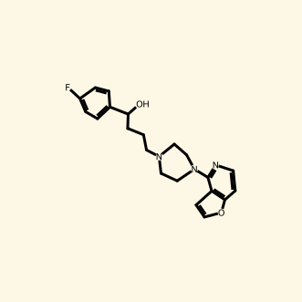 OC(CCCN1CCN(c2nccc3occc23)CC1)c1ccc(F)cc1